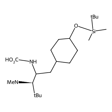 CN[C@@H](C(CC1CCC(O[Si](C)(C)C(C)(C)C)CC1)NC(=O)O)C(C)(C)C